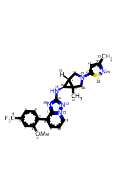 COc1cc(C(F)(F)F)ccc1-c1cccn2nc(N[C@H]3[C@@H]4CN(c5cc(C)ns5)CC43C)nc12